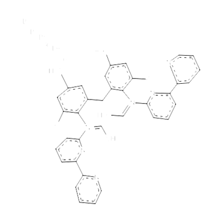 CC=[N+](c1cccc(-c2ccccn2)n1)c1c(C)cc(C)cc1Cc1cc(C)cc(C)c1[N+](=CC)c1cccc(-c2ccccn2)n1.[Br-].[Br-].[Br-].[Br-].[Fe].[Fe]